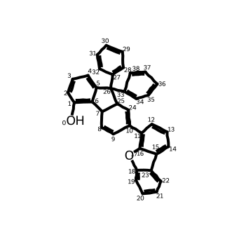 Oc1cccc2c1C1C=CC(c3cccc4c3oc3ccccc34)=CC1C2(c1ccccc1)c1ccccc1